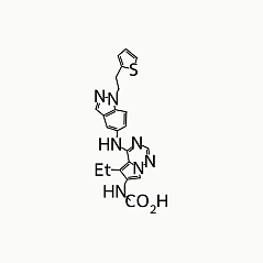 CCc1c(NC(=O)O)cn2ncnc(Nc3ccc4c(cnn4CCc4cccs4)c3)c12